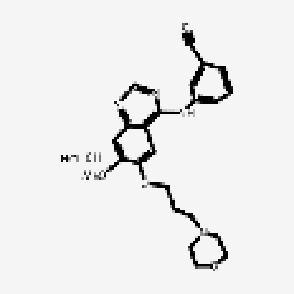 C#Cc1cccc(Nc2ncnc3cc(OC)c(OCCCN4CCOCC4)cc23)c1.Cl.Cl